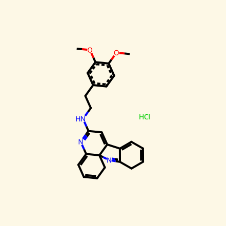 COc1ccc(CCNC2=NC3=CC=CCC34N=C3CC=CC=C3C4=C2)cc1OC.Cl